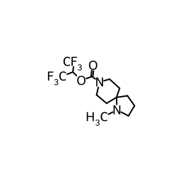 CN1CCCC12CCN(C(=O)OC(C(F)(F)F)C(F)(F)F)CC2